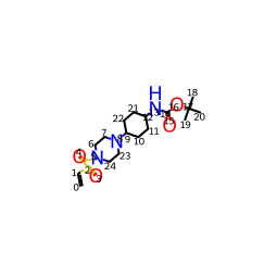 C=CS(=O)(=O)N1CCN(C2CCC(NC(=O)OC(C)(C)C)CC2)CC1